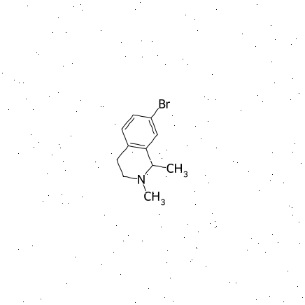 CC1c2cc(Br)ccc2CCN1C